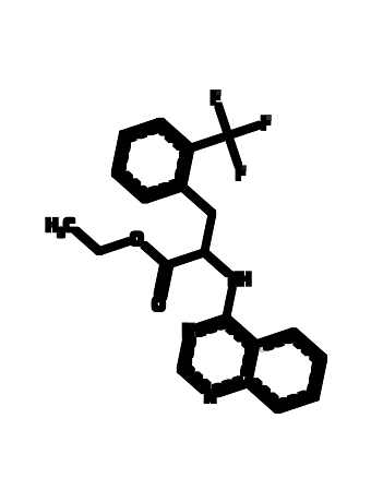 CCOC(=O)C(Cc1ccccc1C(F)(F)F)Nc1ncnc2ccccc12